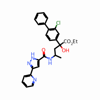 CCOC(=O)C(O)(CC(C)NC(=O)c1cc(-c2ccccn2)n[nH]1)c1ccc(-c2ccccc2)c(Cl)c1